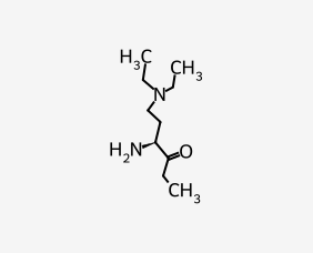 CCC(=O)[C@@H](N)CCN(CC)CC